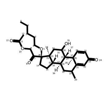 CCCCCO[C@]1(C(=O)COC(C)=O)CC[C@H]2[C@@H]3CC(C)C4=CC(=O)C=C[C@]4(C)[C@H]3C(O)C[C@@]21C